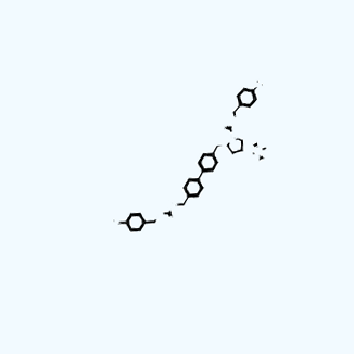 CS(=O)(=O)O[C@@H]1C[C@@H](Cc2ccc(-c3ccc(CNC(=O)OCc4ccc([N+](=O)[O-])cc4)cc3)cc2)N(C(=O)OCc2ccc([N+](=O)[O-])cc2)C1